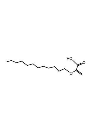 C=C(OCCCCCCCCCCCC)C(=O)O